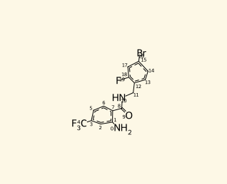 Nc1cc(C(F)(F)F)ccc1C(=O)NCc1ccc(Br)cc1F